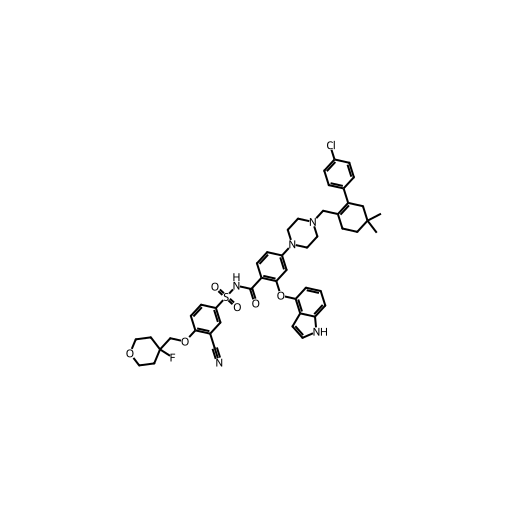 CC1(C)CCC(CN2CCN(c3ccc(C(=O)NS(=O)(=O)c4ccc(OCC5(F)CCOCC5)c(C#N)c4)c(Oc4cccc5[nH]ccc45)c3)CC2)=C(c2ccc(Cl)cc2)C1